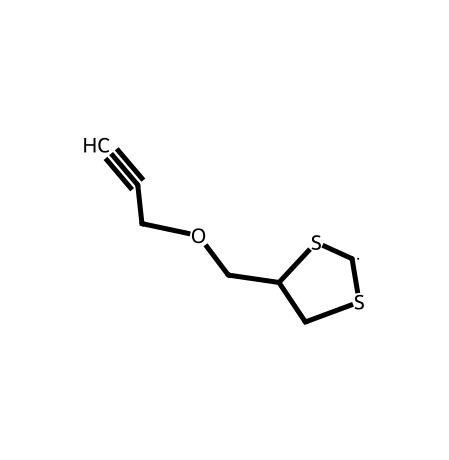 C#CCOCC1CS[CH]S1